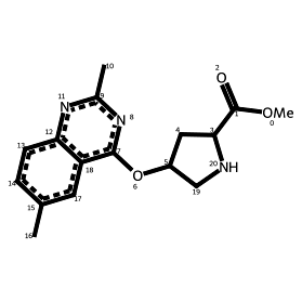 COC(=O)C1CC(Oc2nc(C)nc3ccc(C)cc23)CN1